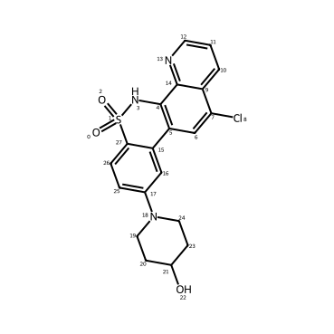 O=S1(=O)Nc2c(cc(Cl)c3cccnc23)-c2cc(N3CCC(O)CC3)ccc21